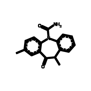 Cc1ccc2c(c1)C(=O)C(C)c1ccccc1N2C(N)=O